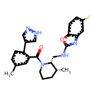 Cc1ccc(-c2cn[nH]c2)c(C(=O)N2CCC[C@@H](C)[C@H]2CNc2nc3cc(F)ccc3o2)c1